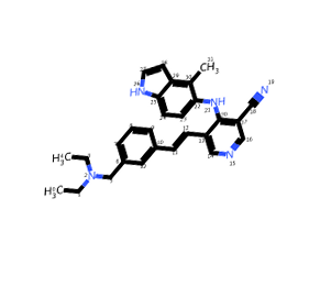 CCN(CC)Cc1cccc(C=Cc2cncc(C#N)c2Nc2ccc3[nH]ccc3c2C)c1